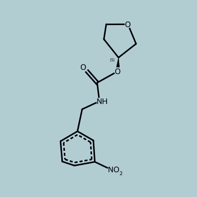 O=C(NCc1cccc([N+](=O)[O-])c1)O[C@H]1CCOC1